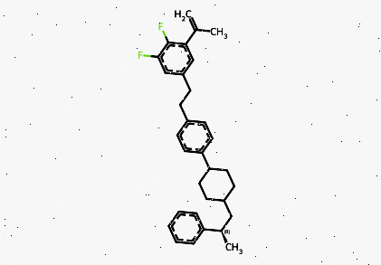 C=C(C)c1cc(CCc2ccc(C3CCC(C[C@@H](C)c4ccccc4)CC3)cc2)cc(F)c1F